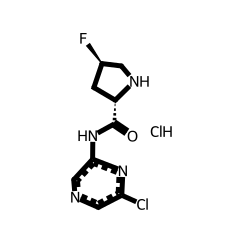 Cl.O=C(Nc1cncc(Cl)n1)[C@@H]1C[C@@H](F)CN1